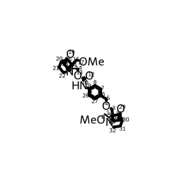 COC[C@@]1(COCc2ccc(NC(=O)OC[C@]3(COC)C(=O)C4CCN3CC4)cc2)C(=O)C2CCN1CC2